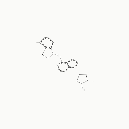 [CH2][C@H]1C[C@@H](n2ccc3c(N[C@H]4CCc5c(F)cccc54)ncnc32)C[C@@H]1O